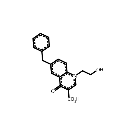 O=C(O)c1cn(CCO)c2ccc(Cc3ccccc3)cc2c1=O